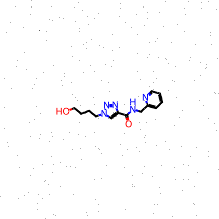 O=C(NCc1ccccn1)c1cn(CCCCO)nn1